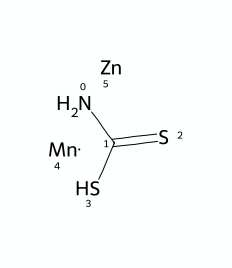 NC(=S)S.[Mn].[Zn]